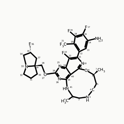 CC1CNCC[C@H](C)Oc2nc(-c3cc(N)c(F)c(F)c3C(F)(F)F)c(F)c3nc(OC[C@@]45CCCN4C[C@H](F)C5)nc(c23)N1